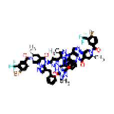 Cc1nn[nH]c1-c1cc(-n2c(=O)c3c(n4ncc(Cc5ccccc5)c24)CN(C(=O)c2ccc(Br)c(C(F)(F)F)c2)[C@H](C)C3)nn1Cc1cccc(Cc2cnn3c4c(c(=O)n(-c5ccc(-c6nn(C)c(=O)[nH]6)cc5)c23)C[C@@H](C)N(C(=O)c2ccc(Br)c(C(F)(F)F)c2)C4)c1